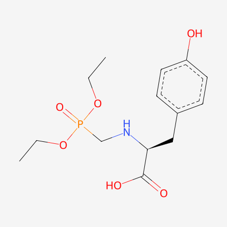 CCOP(=O)(CN[C@@H](Cc1ccc(O)cc1)C(=O)O)OCC